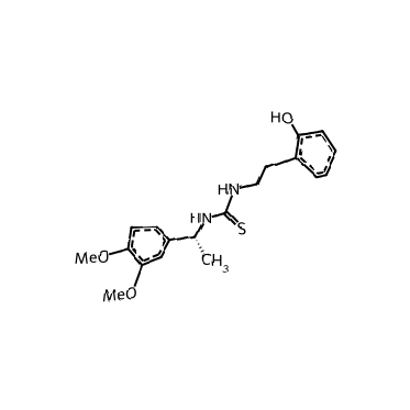 COc1ccc([C@@H](C)NC(=S)NCCc2ccccc2O)cc1OC